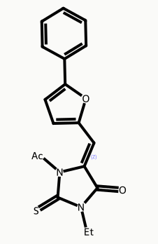 CCN1C(=O)/C(=C/c2ccc(-c3ccccc3)o2)N(C(C)=O)C1=S